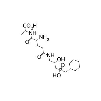 CC(NC(=O)C(N)CCC(=O)NCC(O)CP(=O)(O)CC1CCCCC1)C(=O)O